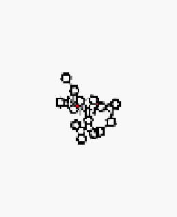 c1ccc(-c2cccc(-n3c4ccccc4c4ccc(N5c6cc7c(cc6N(c6ccc8c9ccccc9n(-c9cccc(-c%10ccccc%10)c9)c8c6)C5(c5ccccc5)c5ccccc5)C5(c6ccccc6-c6ccccc65)c5ccccc5-7)cc43)c2)cc1